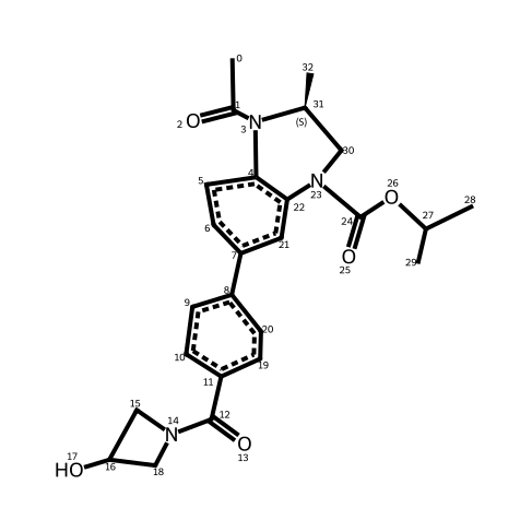 CC(=O)N1c2ccc(-c3ccc(C(=O)N4CC(O)C4)cc3)cc2N(C(=O)OC(C)C)C[C@@H]1C